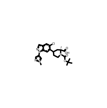 Cn1cc(-n2ncc3cc(Cl)c(C4CCN(C(=O)OC(C)(C)C)[C@](C)(C(=O)O)C4)cc32)cn1